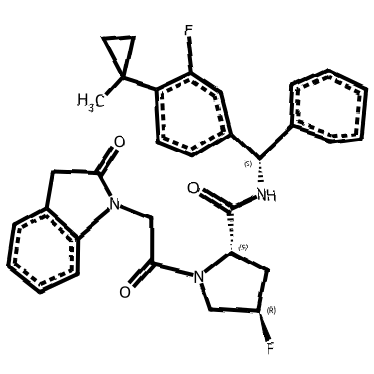 CC1(c2ccc([C@@H](NC(=O)[C@@H]3C[C@@H](F)CN3C(=O)CN3C(=O)Cc4ccccc43)c3ccccc3)cc2F)CC1